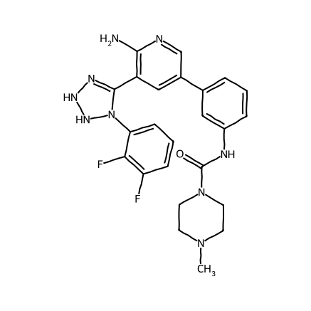 CN1CCN(C(=O)Nc2cccc(-c3cnc(N)c(C4=NNNN4c4cccc(F)c4F)c3)c2)CC1